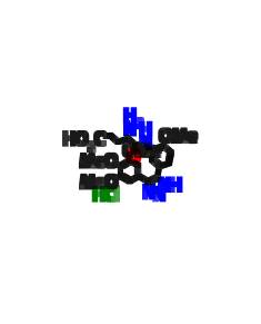 COc1ccc(-c2[nH]nnc2-c2cc(OC)c(OC)c(OC)c2)cc1NC(=O)C(N)CCC(=O)O.Cl